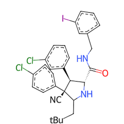 CC(C)(C)CC1N[C@@H](C(=O)NCc2cccc(I)c2)[C@H](c2cccc(Cl)c2)[C@@]1(C#N)c1ccc(Cl)cc1